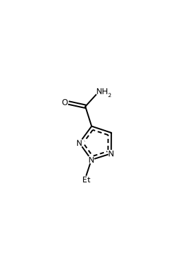 CCn1ncc(C(N)=O)n1